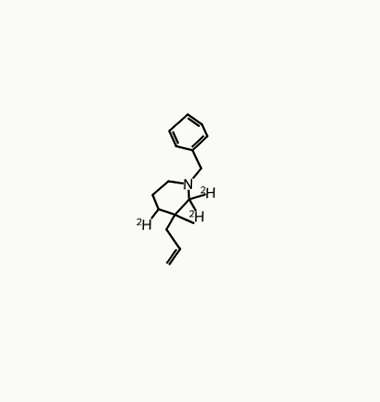 [2H]C1CCN(Cc2ccccc2)C([2H])([2H])C1(C)CC=C